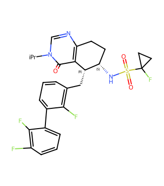 CC(C)n1cnc2c(c1=O)[C@@H](Cc1cccc(-c3cccc(F)c3F)c1F)[C@@H](NS(=O)(=O)C1(F)CC1)CC2